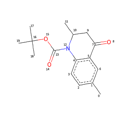 Cc1ccc2c(c1)C(=O)CC(C)N2C(=O)OC(C)(C)C